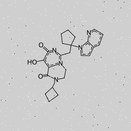 O=C1c2c(O)c(=O)nc(CC3(n4ccc5cccnc54)CCCC3)n2CCN1C1CCC1